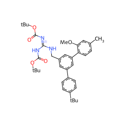 COc1cc(C)ccc1-c1cc(CN/C(=N/C(=O)OC(C)(C)C)NC(=O)OC(C)(C)C)cc(-c2ccc(C(C)(C)C)cc2)c1